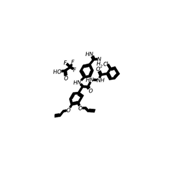 C=CCOc1ccc(C(Nc2ccc(C(=N)N)cc2)C(=O)NNC(=O)c2ccccc2Cl)cc1OCC=C.O=C(O)C(F)(F)F